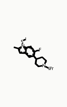 Cc1cc2cc(C3CCN(C(C)C)CC3)c(F)cc2n1SI